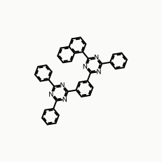 c1ccc(-c2nc(-c3ccccc3)nc(-c3cccc(-c4nc(-c5ccccc5)nc(-c5cccc6ccccc56)n4)c3)n2)cc1